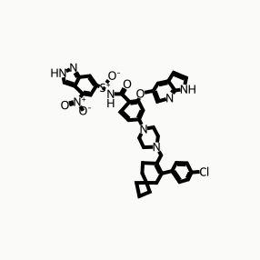 O=C(N[S+]([O-])c1cc([N+](=O)[O-])c2c[nH]nc2c1)c1ccc(N2CCN(CC3=C(c4ccc(Cl)cc4)CC4(CCC4)CC3)CC2)cc1Oc1cnc2[nH]ccc2c1